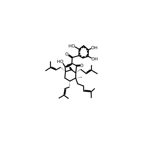 CC(C)=CCC[C@@]1(C)[C@H](CC=C(C)C)C[C@]2(CC=C(C)C)C(=O)[C@@]1(CC=C(C)C)C(=O)C(C(=O)c1cc(O)c(O)cc1O)=C2O